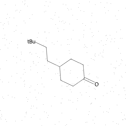 CC(C)(C)CCC1CCC(=O)CC1